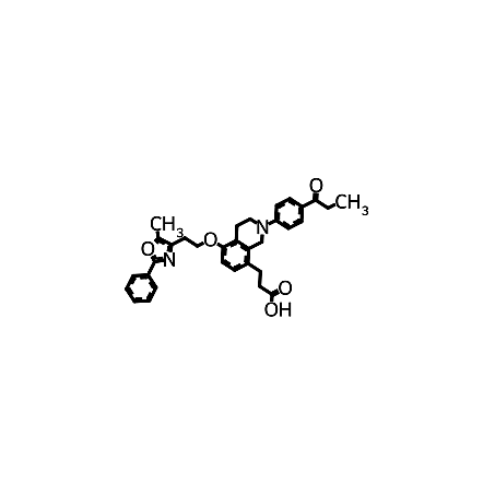 CCC(=O)c1ccc(N2CCc3c(OCCc4nc(-c5ccccc5)oc4C)ccc(CCC(=O)O)c3C2)cc1